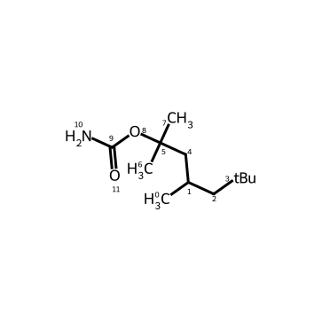 CC(CC(C)(C)C)CC(C)(C)OC(N)=O